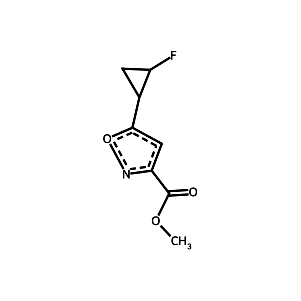 COC(=O)c1cc(C2CC2F)on1